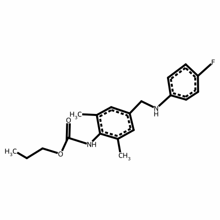 CCCOC(=O)Nc1c(C)cc(CNc2ccc(F)cc2)cc1C